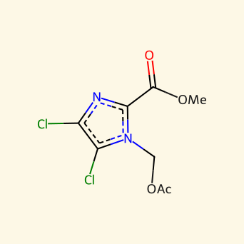 COC(=O)c1nc(Cl)c(Cl)n1COC(C)=O